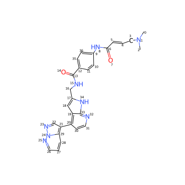 CN(C)C/C=C/C(=O)Nc1ccc(C(=O)NCc2cc3c(-c4cnn5ncccc45)ccnc3[nH]2)cc1